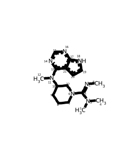 CN=C(N(C)C)N1CCCC(N(C)c2ncnc3[nH]ccc23)C1